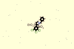 CCOC(=O)C1(c2cc(Cl)c(Cl)c(Cl)c2[N+](=O)[O-])CCN(Cc2ccccc2)C1